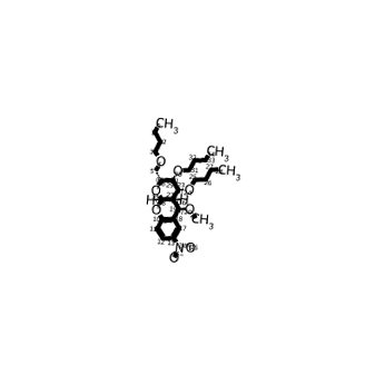 CCCCOC[C@H]1O[C@@H]2Oc3ccc([N+](=O)[O-])cc3[C@H](OC)[C@@H]2[C@@H](OCCCC)[C@H]1OCCCC